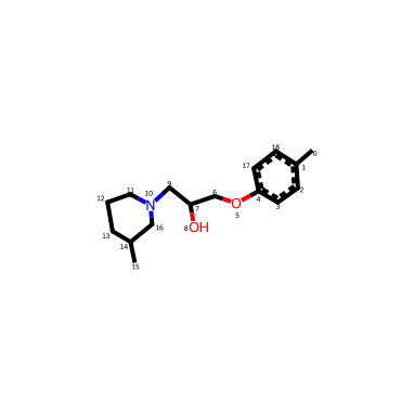 Cc1ccc(OCC(O)CN2CCCC(C)C2)cc1